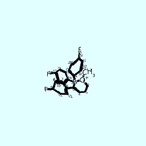 C[O+]1CCC=C(c2ccc(F)cc2)[B-]1(c1ccc(F)cc1)c1ccc(F)cc1